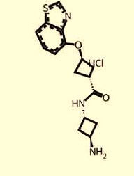 Cl.N[C@H]1C[C@H](NC(=O)[C@H]2C[C@H](Oc3cccc4scnc34)C2)C1